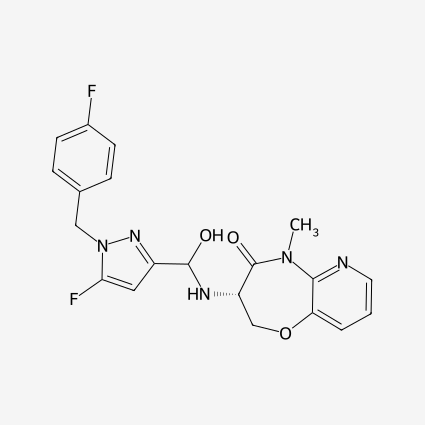 CN1C(=O)[C@@H](NC(O)c2cc(F)n(Cc3ccc(F)cc3)n2)COc2cccnc21